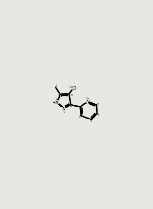 Cc1[nH]nc(-c2ccccn2)c1Cl